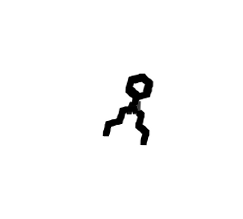 CCC[CH2][Al]([CH2]CCC)[c]1ccccc1